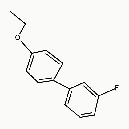 CCOc1ccc(-c2cccc(F)c2)cc1